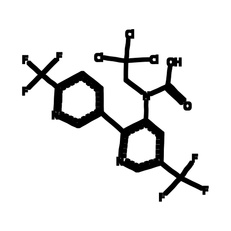 O=C(O)N(CC(Cl)(Cl)Cl)c1cc(C(F)(F)F)cnc1-c1ccc(C(F)(F)F)nc1